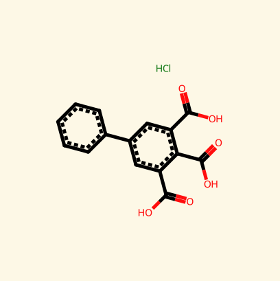 Cl.O=C(O)c1cc(-c2ccccc2)cc(C(=O)O)c1C(=O)O